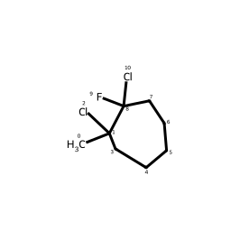 CC1(Cl)CCCCCC1(F)Cl